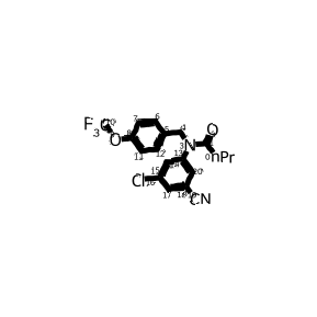 CCCC(=O)N(Cc1ccc(OC(F)(F)F)cc1)c1cc(Cl)cc(C#N)c1